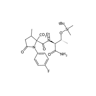 CCOC(=O)C1(C(=O)N[C@H](C(N)=O)[C@@H](C)O[Si](C)(C)C(C)(C)C)C(C)CC(=O)N1c1ccc(F)cc1